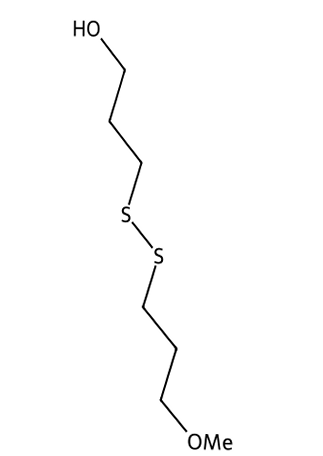 COCCCSSCCCO